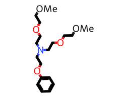 COCCOCCN(CCOCCOC)CCOc1ccccc1